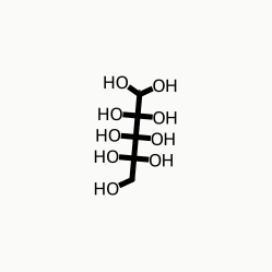 OCC(O)(O)C(O)(O)C(O)(O)[C](O)O